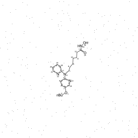 CCCCOc1ccc(N(CCCCCCC(=O)NO)c2ccccn2)nc1